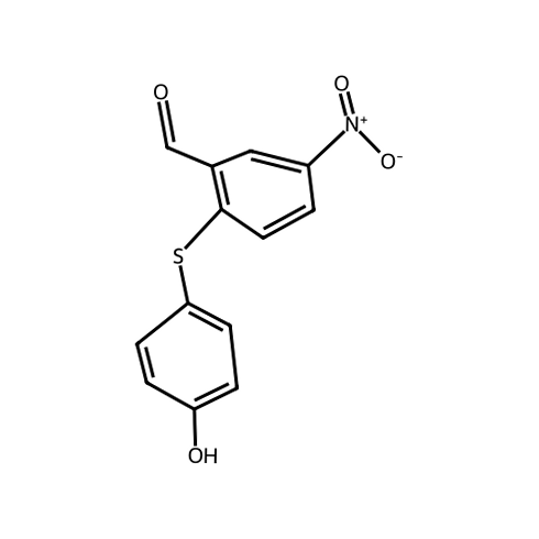 O=Cc1cc([N+](=O)[O-])ccc1Sc1ccc(O)cc1